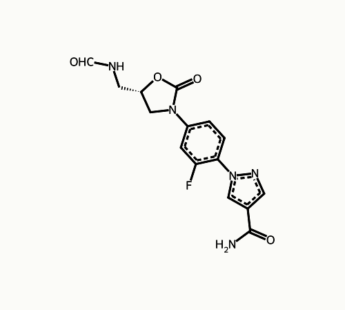 NC(=O)c1cnn(-c2ccc(N3C[C@H](CNC=O)OC3=O)cc2F)c1